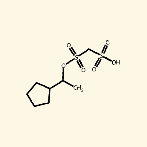 CC(OS(=O)(=O)CS(=O)(=O)O)C1CCCC1